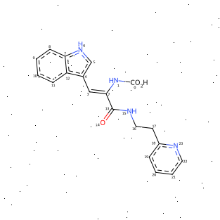 O=C(O)N/C(=C\c1c[nH]c2ccccc12)C(=O)NCCc1ccccn1